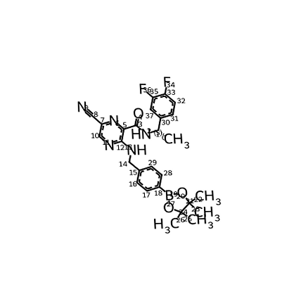 C[C@H](NC(=O)c1nc(C#N)cnc1NCc1ccc(B2OC(C)(C)C(C)(C)O2)cc1)c1ccc(F)c(F)c1